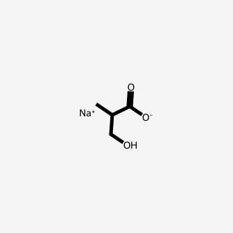 CC(CO)C(=O)[O-].[Na+]